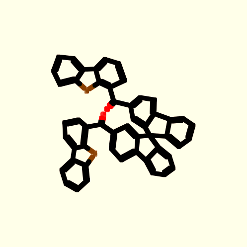 O=C(c1ccc2c(c1)C1(c3ccccc3-2)c2ccccc2-c2ccc(C(=O)c3cccc4c3sc3ccccc34)cc21)c1cccc2c1sc1ccccc12